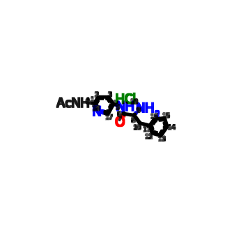 CC(=O)Nc1ccc(NC(=O)C(N)Cc2ccccc2)cn1.Cl